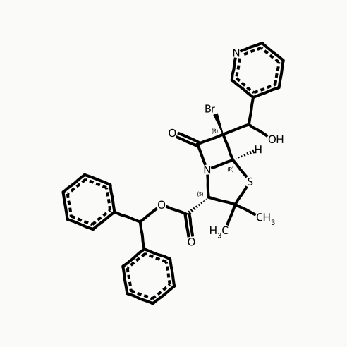 CC1(C)S[C@H]2N(C(=O)[C@]2(Br)C(O)c2cccnc2)[C@H]1C(=O)OC(c1ccccc1)c1ccccc1